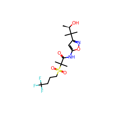 C[C@@H](O)C(C)(C)c1cc(NC(=O)C(C)(C)S(=O)(=O)CCCC(F)(F)F)on1